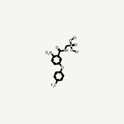 CCOP(=O)(CNC(=O)c1cc(Oc2ccc(C(F)(F)F)cc2)ccc1[N+](=O)[O-])OCC